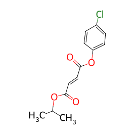 CC(C)OC(=O)C=CC(=O)Oc1ccc(Cl)cc1